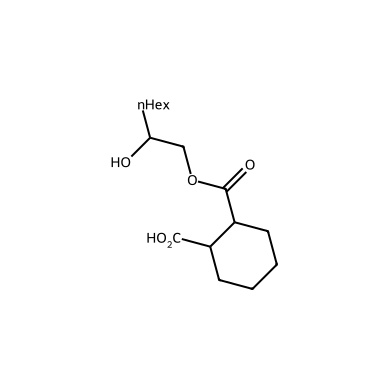 CCCCCCC(O)COC(=O)C1CCCCC1C(=O)O